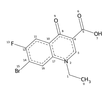 CCn1cc(C(=O)O)c(=O)c2cc(F)c(Br)cc21